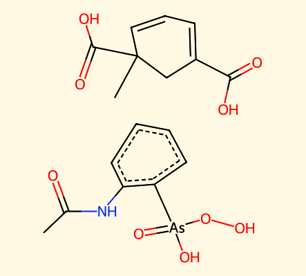 CC(=O)Nc1ccccc1[As](=O)(O)OO.CC1(C(=O)O)C=CC=C(C(=O)O)C1